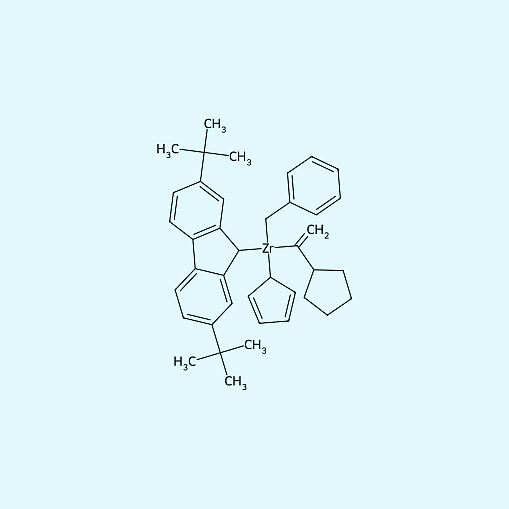 C=[C](C1CCCC1)[Zr]([CH2]c1ccccc1)([CH]1C=CC=C1)[CH]1c2cc(C(C)(C)C)ccc2-c2ccc(C(C)(C)C)cc21